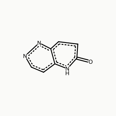 O=c1ccc2nnccc2[nH]1